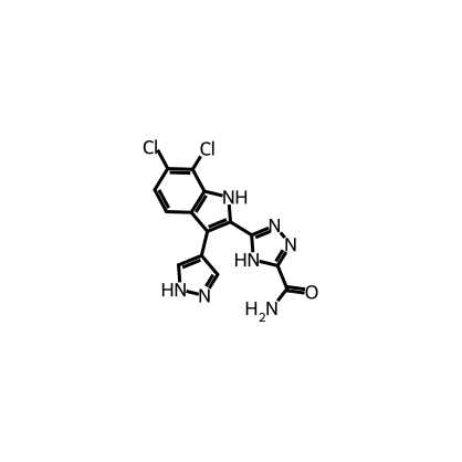 NC(=O)c1nnc(-c2[nH]c3c(Cl)c(Cl)ccc3c2-c2cn[nH]c2)[nH]1